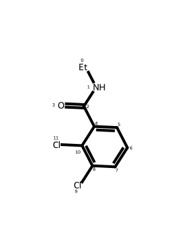 [CH2]CNC(=O)c1cccc(Cl)c1Cl